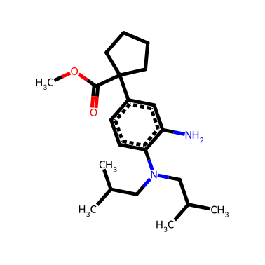 COC(=O)C1(c2ccc(N(CC(C)C)CC(C)C)c(N)c2)CCCC1